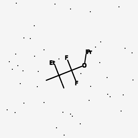 CCC(C)(C)C(F)(F)OC(C)C